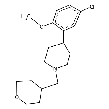 COc1ccc(Cl)cc1C1CCN(CC2CCOCC2)CC1